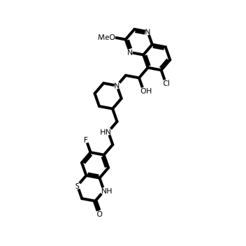 COc1cnc2ccc(Cl)c(C(O)CN3CCCC(CNCc4cc5c(cc4F)SCC(=O)N5)C3)c2n1